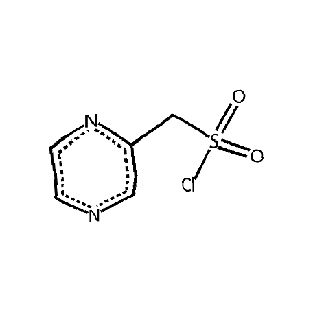 O=S(=O)(Cl)Cc1cnccn1